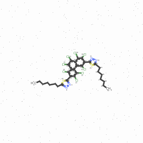 CCCCCCCc1nnc(-c2c(Cl)c(Cl)c3c(c2Cl)c(Cl)c(Cl)c2c(Cl)c(Cl)c(-c4nnc(CCCCCCC)s4)c(Cl)c23)s1